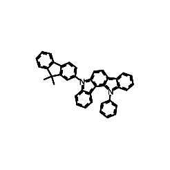 CC1(C)c2ccccc2-c2ccc(-n3c4ccccc4c4c3ccc3c5ccccc5n(-c5ccccc5)c34)cc21